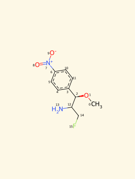 CO[C@H](c1ccc([N+](=O)[O-])cc1)C(N)CF